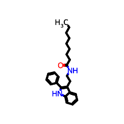 CCCCCCCCC(=O)NCCc1c(-c2ccccc2)[nH]c2ccccc12